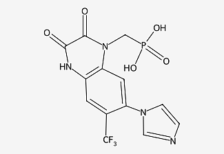 O=c1[nH]c2cc(C(F)(F)F)c(-n3ccnc3)cc2n(CP(=O)(O)O)c1=O